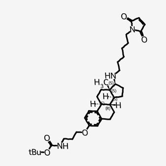 CC(C)(C)OC(=O)NCCCOc1ccc2c(c1)CC[C@@H]1[C@@H]2CC[C@]2(C)[C@@H](NCCCCCCN3C(=O)C=CC3=O)CC[C@@H]12